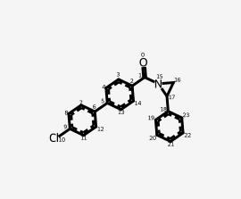 O=C(c1ccc(-c2ccc(Cl)cc2)cc1)N1CC1c1ccccc1